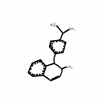 CC(C)c1ccc(C2c3ccccc3C=CC2C)cc1